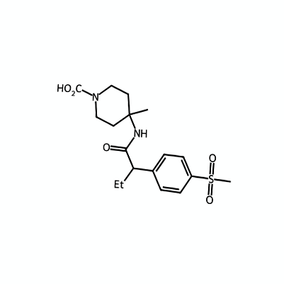 CCC(C(=O)NC1(C)CCN(C(=O)O)CC1)c1ccc(S(C)(=O)=O)cc1